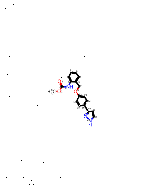 COC(=O)Nc1ccccc1COc1ccc(-c2cc[nH]n2)cc1